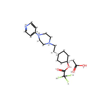 O=C(O)C[C@]1(OC(=O)C(F)(F)F)CC[C@H](CCN2CCN(c3ccncc3)CC2)CC1